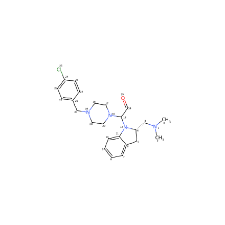 CN(C)C[C@@H]1Cc2ccccc2N1C(C=O)N1CCN(Cc2ccc(Cl)cc2)CC1